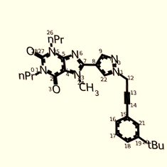 CCCn1c(=O)c2c(nc(-c3cnn(CC#Cc4cccc(C(C)(C)C)c4)c3)n2C)n(CCC)c1=O